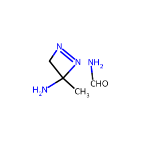 CC1(N)CN=N1.NC=O